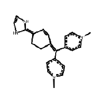 C[n+]1ccc(C(=C2C=CC(=C3NC=CN3)CC2)c2cc[n+](C)cc2)cc1